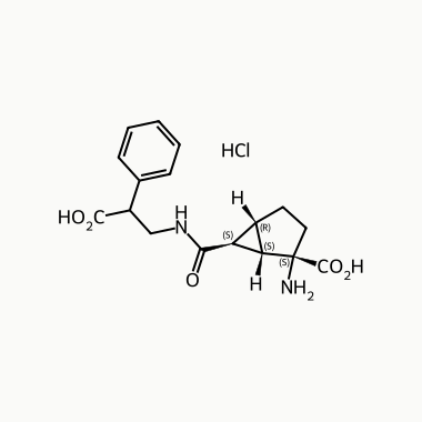 Cl.N[C@@]1(C(=O)O)CC[C@H]2[C@H](C(=O)NCC(C(=O)O)c3ccccc3)[C@H]21